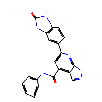 O=C(Nc1ccccc1)c1cc(-c2ccc3[nH]c(=O)[nH]c3c2)nc2[nH]ncc12